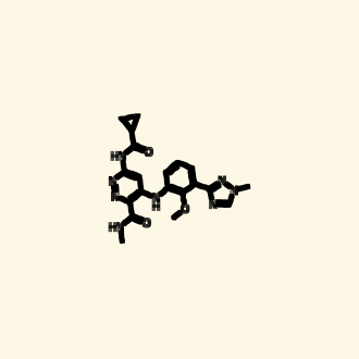 CNC(=O)c1nnc(NC(=O)C2CC2)cc1Nc1cccc(-c2ncn(C)n2)c1OC